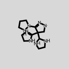 C1CNN(C2=N[N]CC2(C2=NCCN2)C2NCCN2)C1